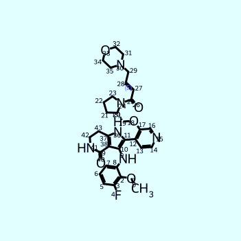 COc1c(F)cccc1Nc1c(-c2ccncc2OC[C@@H]2CCCN2C(=O)/C=C/CN2CCOCC2)[nH]c2c1C(=O)NCC2